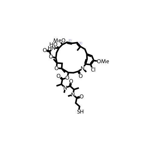 COc1cc2cc(c1Cl)N(C)C(=O)CC(OC(=O)C(C)N(C)C(=O)C(C)N(C)C(=O)CCS)C1(C)CC(C)(O1)C1CC(O)(NC(=O)O1)C(OC)/C=C/C=C(\C)C2